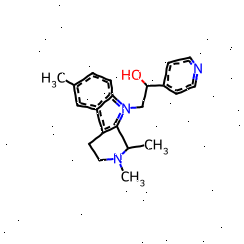 Cc1ccc2c(c1)c1c(n2CC(O)c2ccncc2)C(C)N(C)CC1